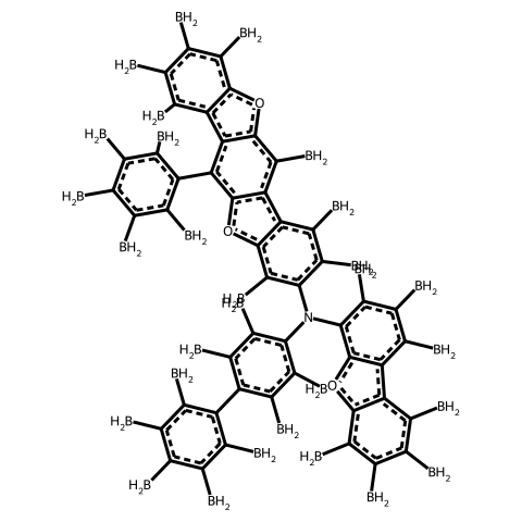 Bc1c(B)c(B)c(-c2c(B)c(B)c(N(c3c(B)c(B)c4c(oc5c(-c6c(B)c(B)c(B)c(B)c6B)c6c(oc7c(B)c(B)c(B)c(B)c76)c(B)c54)c3B)c3c(B)c(B)c(B)c4c3oc3c(B)c(B)c(B)c(B)c34)c(B)c2B)c(B)c1B